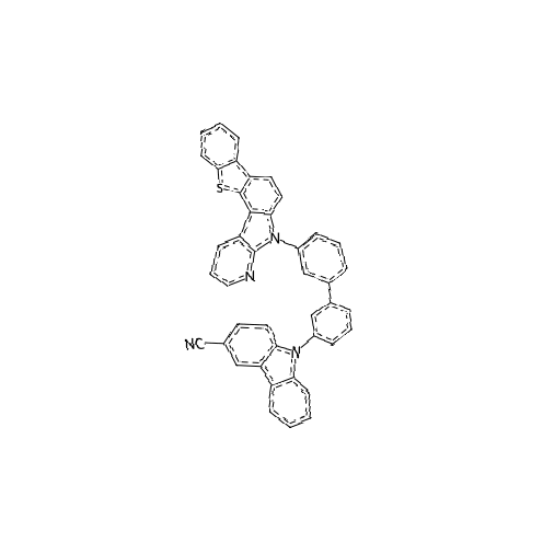 N#Cc1ccc2c(c1)c1ccccc1n2-c1cccc(-c2cccc(-n3c4ccc5c6ccccc6sc5c4c4cccnc43)c2)c1